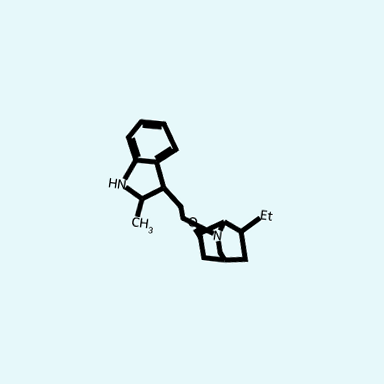 CCC1CC2CC(=O)C1N(CCC1c3ccccc3NC1C)C2